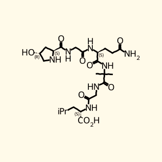 CC(C)C[C@H](NC(=O)CNC(=O)C(C)(C)NC(=O)[C@H](CCC(N)=O)NC(=O)CNC(=O)[C@@H]1C[C@@H](O)CN1)C(=O)O